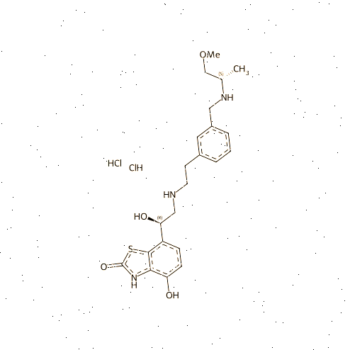 COC[C@H](C)NCc1cccc(CCNC[C@H](O)c2ccc(O)c3[nH]c(=O)sc23)c1.Cl.Cl